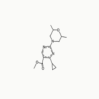 COC(=O)c1cnc(N2CC(C)OC(C)C2)nc1C1CC1